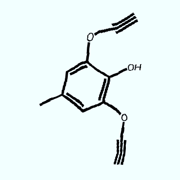 C#COc1cc(C)cc(OC#C)c1O